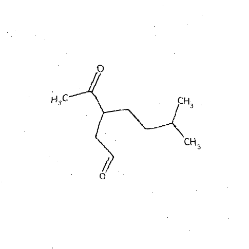 CC(=O)C(CC=O)CCC(C)C